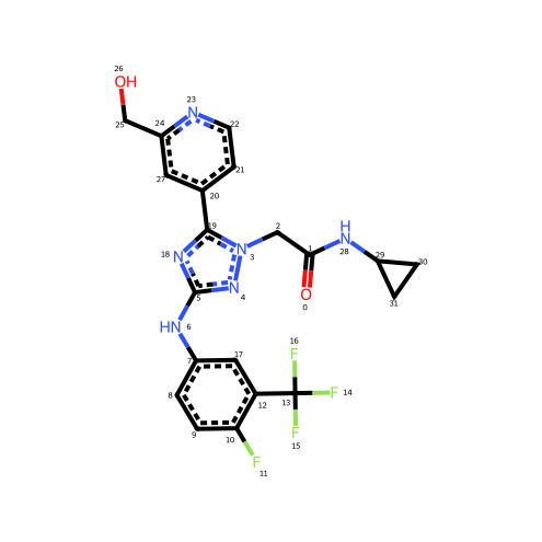 O=C(Cn1nc(Nc2ccc(F)c(C(F)(F)F)c2)nc1-c1ccnc(CO)c1)NC1CC1